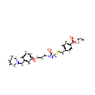 COC(=O)c1ccc(CSCC(=O)NCCCOc2cccc(CN3CCCCC3)c2)cc1